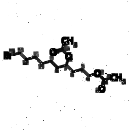 CC(=O)OC[CH]CC(CCCCCCBr)OC(C)=O